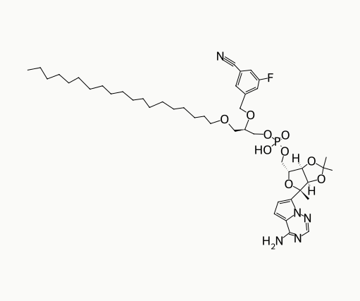 CCCCCCCCCCCCCCCCCCCOC[C@H](COP(=O)(O)OC[C@H]1O[C@@](C)(c2ccc3c(N)ncnn23)[C@@H]2OC(C)(C)O[C@@H]21)OCc1cc(F)cc(C#N)c1